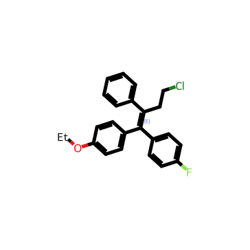 [CH2]COc1ccc(/C(=C(/CCCl)c2ccccc2)c2ccc(F)cc2)cc1